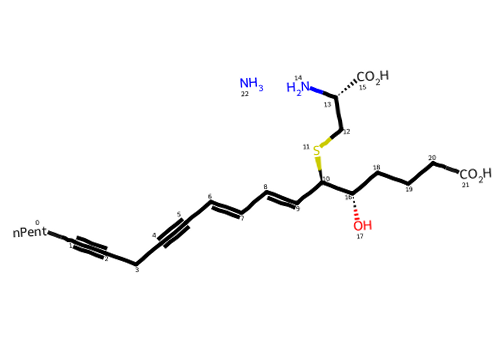 CCCCCC#CCC#C/C=C/C=C/[C@@H](SC[C@H](N)C(=O)O)[C@@H](O)CCCC(=O)O.N